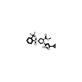 COC(=O)[C@@H]1C[C@@H](S(=O)(=O)c2ccccc2C(F)(F)F)CN1c1cc(C2CC2)n[nH]1